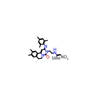 CS/C(=C\[N+](=O)[O-])NCCn1c(=O)n2c(c/c1=N\c1c(C)cc(C)cc1C)-c1cc(C)c(C)cc1CC2